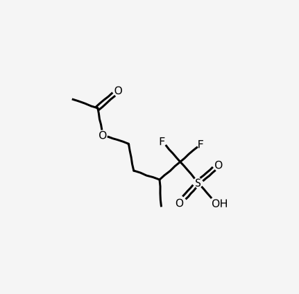 CC(=O)OCCC(C)C(F)(F)S(=O)(=O)O